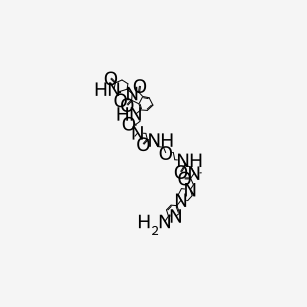 CN(CC(=O)NCCOCCNC(=O)CN(C)C(=O)CN1CCN(c2ccc(N)nc2)CC1)C(=O)CNc1cccc2c1C(=O)N(C1CCC(=O)NC1=O)C2=O